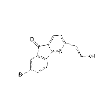 O=C1c2cc(Br)ccc2-c2nc(C=NO)ccc21